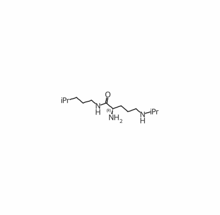 CC(C)CCCNC(=O)[C@H](N)CCCNC(C)C